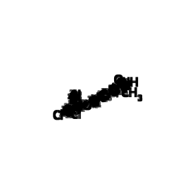 Cc1n[nH]c(=O)n1-c1ccc(N2CCN(c3ccc(OC[C@@H]4CO[C@@](Cn5ccnc5)(c5ccc(Cl)cc5Cl)O4)cc3)CC2)cc1